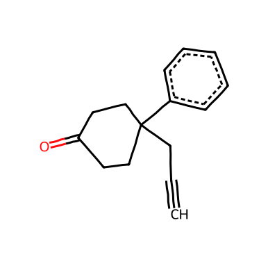 C#CCC1(c2ccccc2)CCC(=O)CC1